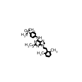 CSc1nc(Nc2ccc(P(C)(C)=O)cc2)c2ncn(C=Cc3c(C)cccc3C)c2n1